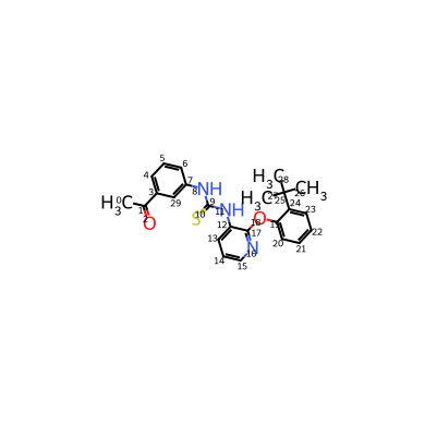 CC(=O)c1cccc(NC(=S)Nc2cccnc2Oc2ccccc2C(C)(C)C)c1